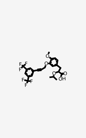 COc1ccc(CC(OC(C)C)C(=O)O)cc1OCC#Cc1cc(C(F)(F)F)cc(C(F)(F)F)c1